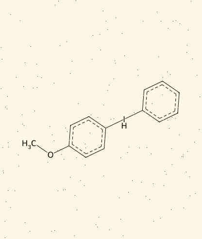 COc1ccc([IH]c2ccccc2)cc1